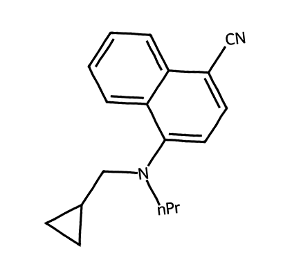 CCCN(CC1CC1)c1ccc(C#N)c2ccccc12